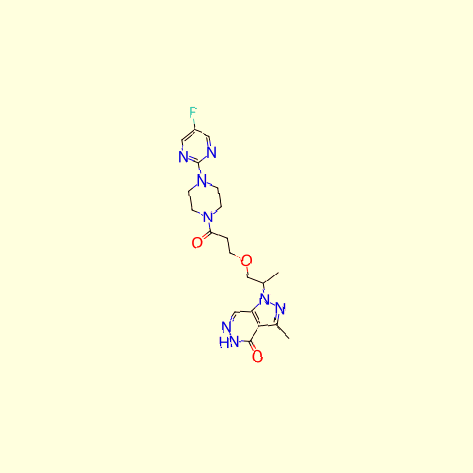 Cc1nn(C(C)COCCC(=O)N2CCN(c3ncc(F)cn3)CC2)c2cn[nH]c(=O)c12